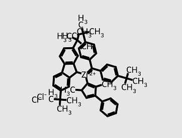 CC1=[C]([Zr+2](=[C](c2ccc(C(C)(C)C)cc2)c2ccc(C(C)(C)C)cc2)[CH]2c3cc(C(C)(C)C)ccc3-c3ccc(C(C)(C)C)cc32)C(C)C=C1c1ccccc1.[Cl-].[Cl-]